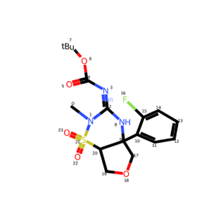 CN1/C(=N\C(=O)OC(C)(C)C)NC2(c3ccccc3F)COCC2S1(=O)=O